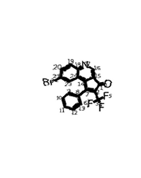 O=C1C(C(F)(F)F)=C(c2ccccc2)c2c1cnc1ccc(Br)cc21